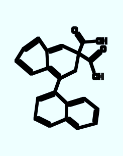 O=C(O)C1(C(=O)O)C=c2ccccc2=C(c2cccc3ccccc23)C1